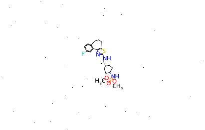 COP(=O)(N[C@H]1CC[C@H](CNc2nc3c(s2)CCCc2ccc(F)cc2-3)CC1)OC